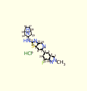 Cl.Cn1cc2cc(-c3cc4sc(NC5CC6CCC(C5)N6)nc4cn3)cc(F)c2n1